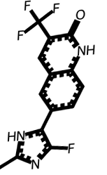 Cc1nc(F)c(-c2ccc3[nH]c(=O)c(C(F)(F)F)cc3c2)[nH]1